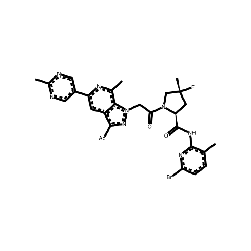 CC(=O)c1nn(CC(=O)N2C[C@](C)(F)C[C@H]2C(=O)Nc2nc(Br)ccc2C)c2c(C)nc(-c3cnc(C)nc3)cc12